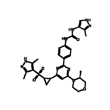 Cc1n[nH]cc1NC(=O)Nc1ccc(-c2nc(C3CC3S(=O)(=O)c3c(C)n[nH]c3C)cc(N3CCOC[C@@H]3C)n2)cc1